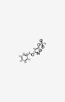 CS(=O)(=O)Oc1cc(OCc2ccccc2)no1